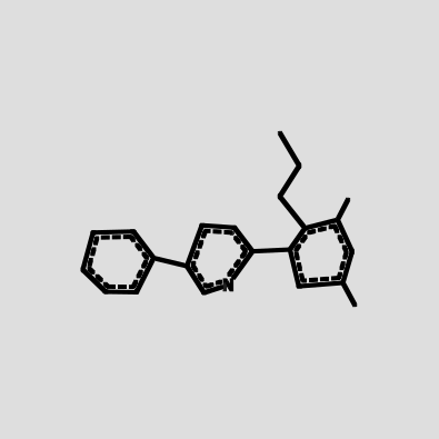 CCCc1c(C)cc(C)cc1-c1ccc(-c2ccccc2)cn1